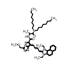 CCCCCCCCN(CCCCCCCC)C(=O)C(C)NC(=O)c1nn2c(COC)nnc2\c1=C/C=C/C=C1/N(CC)c2ccc3ccccc3c2N1CC